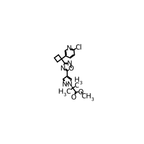 COC(=O)C(C)(C)n1cc(-c2nc(C3(c4ccc(Cl)nc4)CCC3)no2)cn1